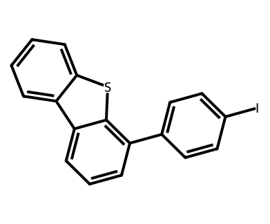 Ic1ccc(-c2cccc3c2sc2ccccc23)cc1